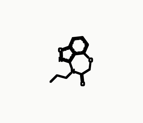 CCCN1C(=O)COc2cccc3onc1c23